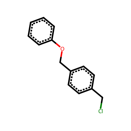 ClCc1ccc(COc2ccccc2)cc1